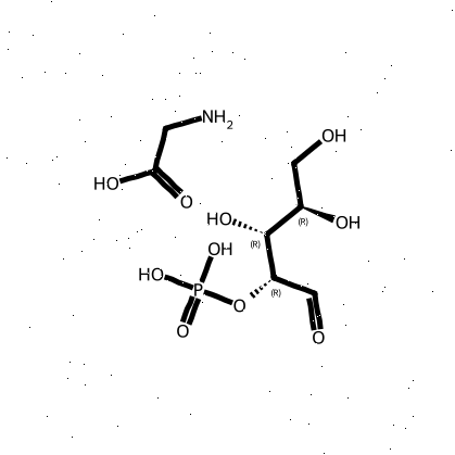 NCC(=O)O.O=C[C@H](OP(=O)(O)O)[C@H](O)[C@H](O)CO